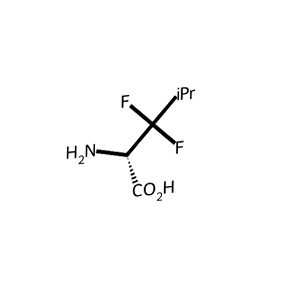 CC(C)C(F)(F)[C@@H](N)C(=O)O